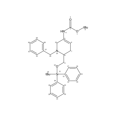 CC(C)(C)OC(=O)NC1=CCC(CO[Si](c2ccccc2)(c2ccccc2)C(C)(C)C)N(Cc2ccccc2)C1